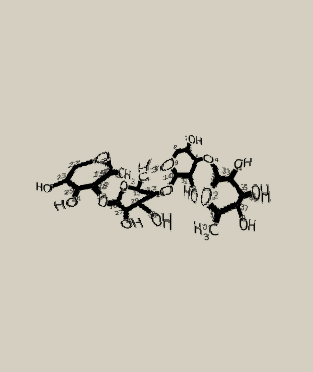 CC1OC(OC2C(O)COC(OC3C(C)OC(OC4C(C)OCC(O)C4O)C(O)C3O)C2O)C(O)C(O)C1O